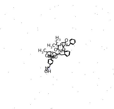 CC(C)CN(C[C@@H](O)[C@H](Cc1ccccc1)NC(=O)[C@H](C(C)C)N1CC(=O)N(Cc2ccccc2)C1=O)S(=O)(=O)c1ccc(/C=N/O)cc1